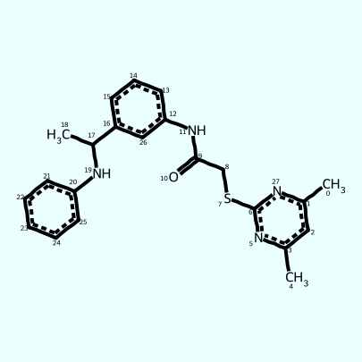 Cc1cc(C)nc(SCC(=O)Nc2cccc(C(C)Nc3ccccc3)c2)n1